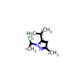 Cc1cc(C(C)C)n(C(C)F)n1